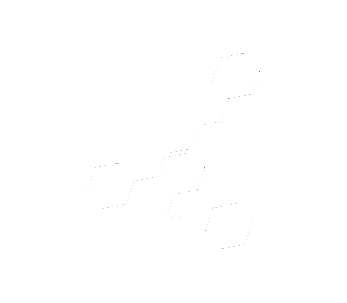 O=S(=O)(O)c1c(C2CCCCC2)cc(OCC2CCCCC2)cc1C1CCCCC1